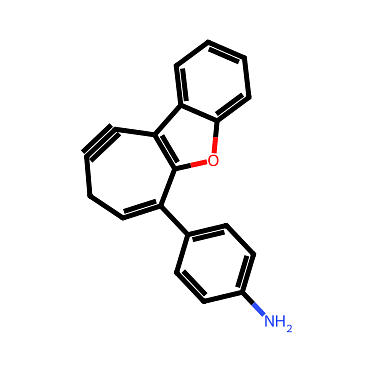 Nc1ccc(C2=CCC#Cc3c2oc2ccccc32)cc1